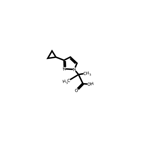 CC(C)(C(=O)O)n1ccc(C2CC2)n1